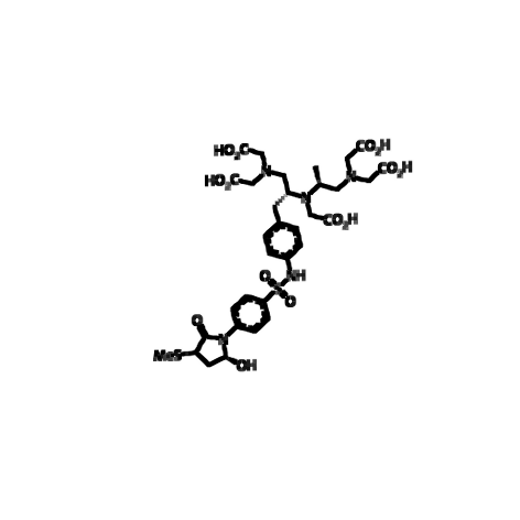 CSC1C[C@H](O)N(c2ccc(S(=O)(=O)Nc3ccc(C[C@H](CN(CC(=O)O)CC(=O)O)N(CC(=O)O)[C@@H](C)CN(CC(=O)O)CC(=O)O)cc3)cc2)C1=O